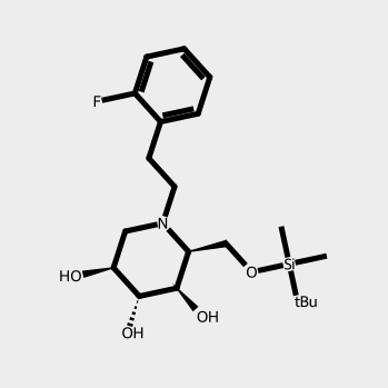 CC(C)(C)[Si](C)(C)OC[C@H]1[C@@H](O)[C@H](O)[C@@H](O)CN1CCc1ccccc1F